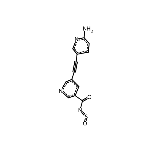 Nc1ccc(C#Cc2cncc(C(=O)N=S=O)c2)cn1